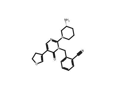 N#Cc1ccccc1Cn1c(N2CCC[C@@H](N)C2)ncc(C2=COCC2)c1=O